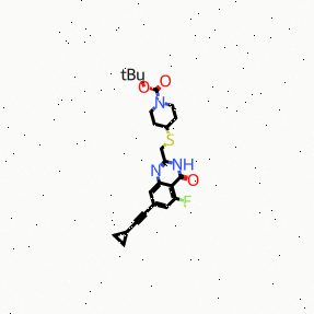 CC(C)(C)OC(=O)N1CCC(SCc2nc3cc(C#CC4CC4)cc(F)c3c(=O)[nH]2)CC1